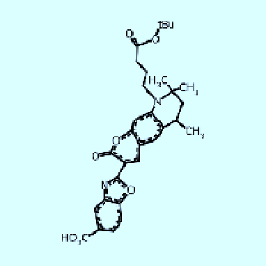 CC1CC(C)(C)N(CCCC(=O)OC(C)(C)C)c2cc3oc(=O)c(-c4nc5cc(C(=O)O)ccc5o4)cc3cc21